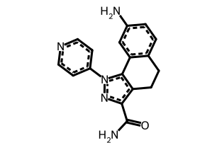 NC(=O)c1nn(-c2ccncc2)c2c1CCc1ccc(N)cc1-2